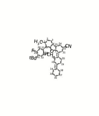 Cc1ccc2c(oc3c(-c4ccc(-c5ccccc5)cc4)cc(C#N)cc32)c1-c1cc(F)c(C(C)(C)C)c[n+]1C